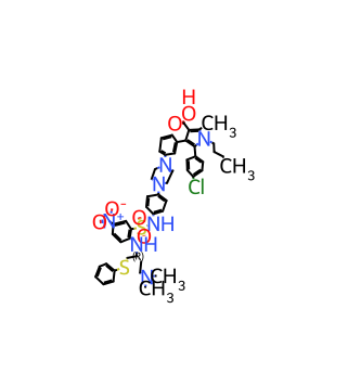 CCCCn1c(C)c(C(=O)O)c(-c2cccc(N3CCN(c4ccc(NS(=O)(=O)c5cc([N+](=O)[O-])ccc5N[C@H](CCN(C)C)CSc5ccccc5)cc4)CC3)c2)c1-c1ccc(Cl)cc1